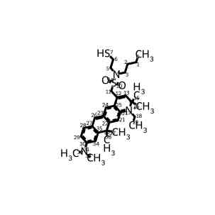 CCCCN(CCS)S(=O)(=O)CC1=CC(C)(C)[N+](CC)=c2cc3c(cc21)=Cc1ccc(N(C)C)cc1C3(C)C